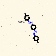 COc1cc(C)ccc1N=Nc1ccc(N=Nc2ccc(C)cc2)cc1